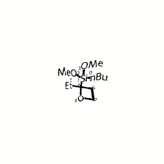 CCCC[Si](OC)(OC)C1(CC)CCO1